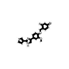 COc1cc(-c2c[nH]c(-c3ccsc3)n2)ccc1OCc1ccc(Br)cc1F